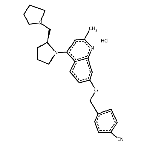 Cc1cc(N2CCC[C@H]2CN2CCCC2)c2ccc(OCc3ccc(C#N)cc3)cc2n1.Cl